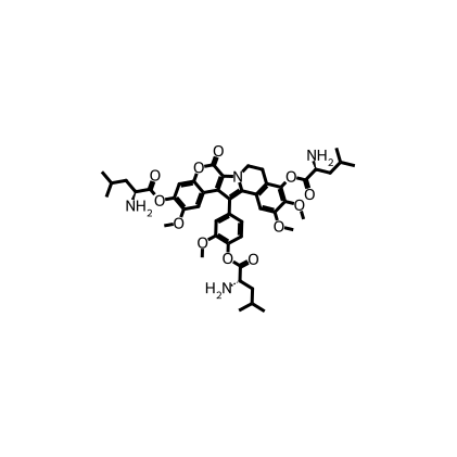 COc1cc(-c2c3n(c4c(=O)oc5cc(OC(=O)[C@@H](N)CC(C)C)c(OC)cc5c24)CCc2c-3cc(OC)c(OC)c2OC(=O)[C@@H](N)CC(C)C)ccc1OC(=O)[C@@H](N)CC(C)C